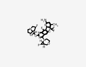 [2H]C([2H])(Oc1nc(N2CCOC[C@H]3[C@H](F)[C@H]32)c2cc(Cl)c(-c3nc(N)cc(C)c3C(F)(F)F)c(F)c2n1)[C@@]12CCCN1C[C@H](F)C2